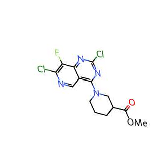 COC(=O)C1CCCN(c2nc(Cl)nc3c(F)c(Cl)ncc23)C1